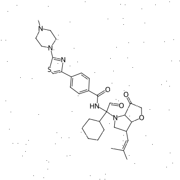 CC(C)=CC1CN(C(C=O)(NC(=O)c2ccc(-c3csc(N4CCN(C)CC4)n3)cc2)C2CCCCC2)C2C(=O)COC12